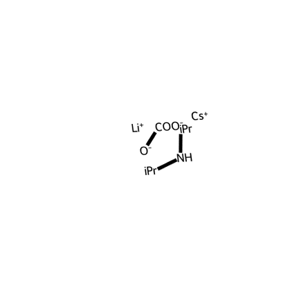 CC(C)NC(C)C.O=C([O-])[O-].[Cs+].[Li+]